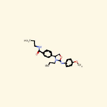 CC(C)(C)CCN1C(=Nc2ccc(OC(F)(F)F)cc2)OCC1c1ccc(C(=O)NCCC(=O)O)cc1